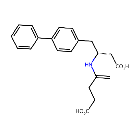 C=C(CCC(=O)O)N[C@@H](CC(=O)O)Cc1ccc(-c2ccccc2)cc1